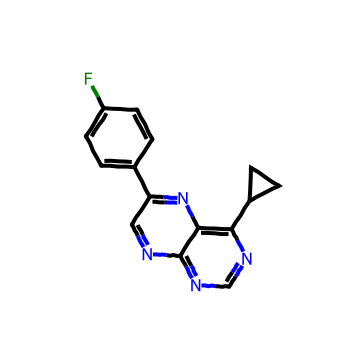 Fc1ccc(-c2cnc3ncnc(C4CC4)c3n2)cc1